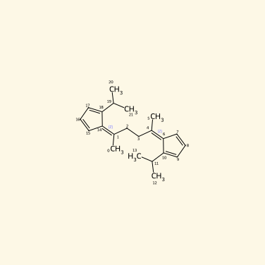 C/C(CC/C(C)=C1/C=CC=C1C(C)C)=C1\C=CC=C1C(C)C